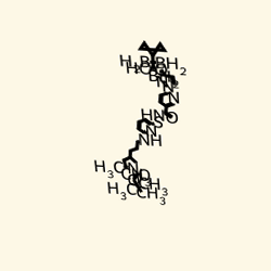 BC(O)(Oc1ccn(-c2ccc(C(=O)NSc3cccc(NCCCC4CN(C(=O)OC(C)(C)C)C(C)(C)C4)n3)cn2)n1)C(B)(B)C1C2(CC2)C12CC2